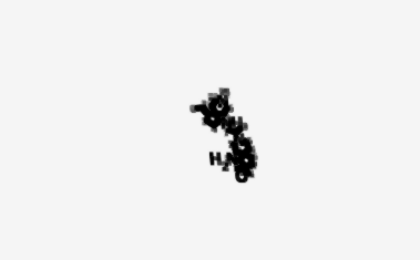 C/C=C1\CC[C@@H](NCC(C)N2CCC3(CC2)CCC2(COC2)[C@H]3N)C12CCN(C)CC2